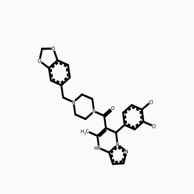 CC1=C(C(=O)N2CCN(Cc3ccc4c(c3)OCO4)CC2)C(c2ccc(Cl)c(Cl)c2)n2nccc2N1